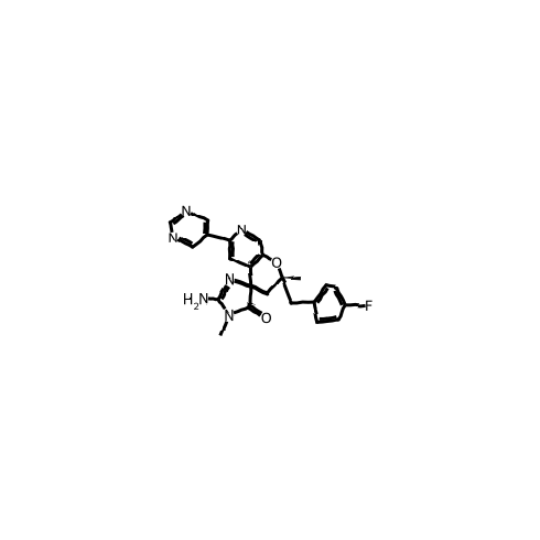 CN1C(=O)C2(C[C@@](C)(Cc3ccc(F)cc3)Oc3cnc(-c4cncnc4)cc32)N=C1N